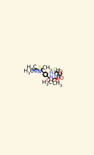 CN[C@@H](C)c1nc(-c2ccc(C(=O)NC(C(=O)N3C[C@H](F)[C@H]4OCC(=O)[C@H]43)C(C)C)cc2)c(C)s1